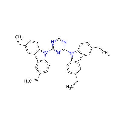 C=Cc1ccc2c(c1)c1cc(C=C)ccc1n2-c1ncnc(-n2c3ccc(C=C)cc3c3cc(C=C)ccc32)n1